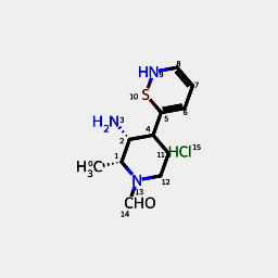 C[C@@H]1[C@H](N)C(C2=CC=CNS2)CCN1C=O.Cl